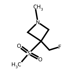 CN1CC(CF)(S(C)(=O)=O)C1